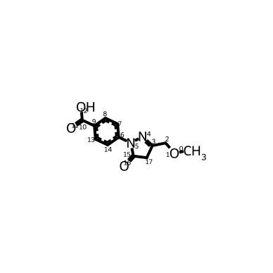 COCC1=NN(c2ccc(C(=O)O)cc2)C(=O)C1